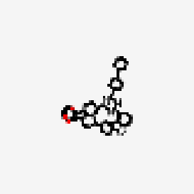 C1=CCC(c2ccc(-c3nc(-c4ccc(-c5ccccc5)cc4)nc(-c4cccc5oc6ccc(C7C=CC(c8ccccc8)=CC7)cc6c45)n3)cc2)C=C1